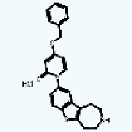 Cl.O=c1cc(OCc2ccccc2)ccn1-c1ccc2sc3c(c2c1)CCNCC3